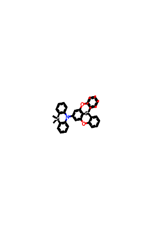 C[Si]1(C)c2ccccc2N(c2cc3c4c(c2)Oc2ccccc2[Si]4(c2ccccc2)c2ccccc2O3)c2ccccc21